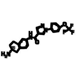 N[C@H]1CCc2cc(NC(=O)c3cnn(-c4ccc(OC(F)(F)F)cc4)c3)ccc2C1